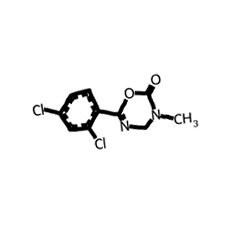 CN1CN=C(c2ccc(Cl)cc2Cl)OC1=O